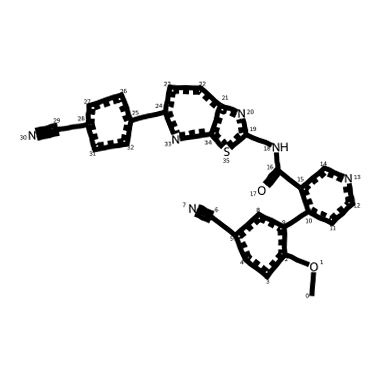 COc1ccc(C#N)cc1-c1ccncc1C(=O)Nc1nc2ccc(-c3ccc(C#N)cc3)nc2s1